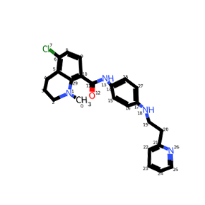 CN1CCCc2c(Cl)ccc(C(=O)Nc3ccc(NCCc4ccccn4)cc3)c21